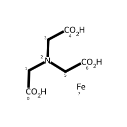 O=C(O)CN(CC(=O)O)CC(=O)O.[Fe]